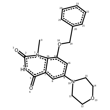 Cn1c(=O)[nH]c(=O)c2cc(N3CCOCC3)cc(OCc3ccccc3)c21